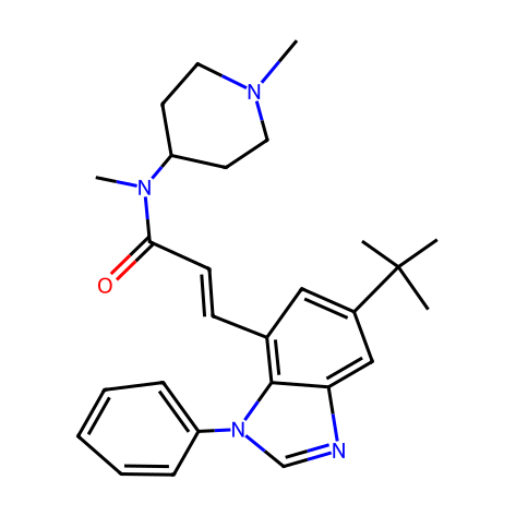 CN1CCC(N(C)C(=O)/C=C/c2cc(C(C)(C)C)cc3ncn(-c4ccccc4)c23)CC1